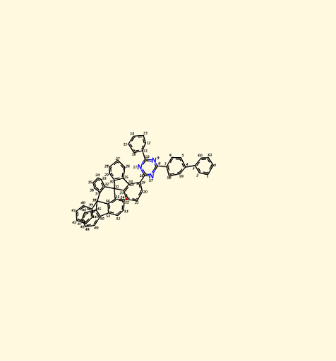 c1ccc(-c2ccc(-c3nc(-c4ccccc4)nc(-c4cccc5c4-c4ccccc4C54c5ccccc5C5(c6ccccc6)c6ccccc6-c6cccc4c65)n3)cc2)cc1